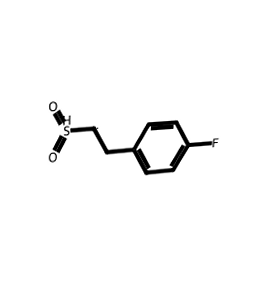 O=[SH](=O)[CH]Cc1ccc(F)cc1